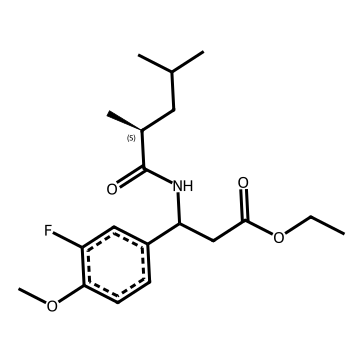 CCOC(=O)CC(NC(=O)[C@@H](C)CC(C)C)c1ccc(OC)c(F)c1